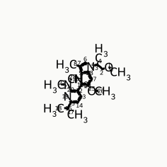 COC[C@H](C)n1cc(C)c2nc(-c3ccc(C(C)C)nc3N(C)C)c(OC)cc21